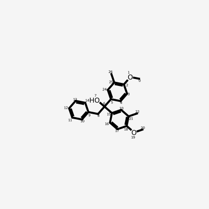 COc1ccc(C(O)(Cc2cc[c]cc2)c2ccc(OC)c(C)c2)cc1C